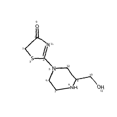 O=C1CSC(N2CCNC(CO)C2)=N1